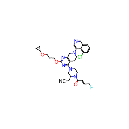 N#CC[C@H]1CN(c2nc(OCCCOC3CC3)nc3c2CCN(c2cncc4cccc(Cl)c24)C3)CCN1C(=O)/C=C/CF